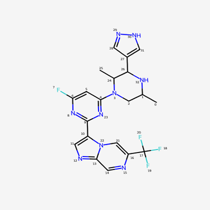 CC1CN(c2cc(F)nc(-c3cnc4cnc(C(F)(F)F)cn34)n2)C(C)C(c2cn[nH]c2)N1